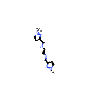 Cn1ccc(C=NCCN=Cc2ccn(C)n2)n1